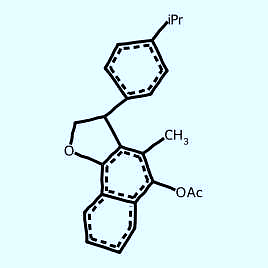 CC(=O)Oc1c(C)c2c(c3ccccc13)OCC2c1ccc(C(C)C)cc1